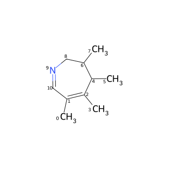 CC1=C(C)C(C)C(C)CN=C1